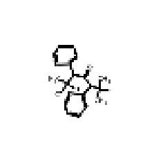 CC(C)(Cl)C(C(=O)C(c1ccccc1)C(C)(C)Cl)c1ccccc1